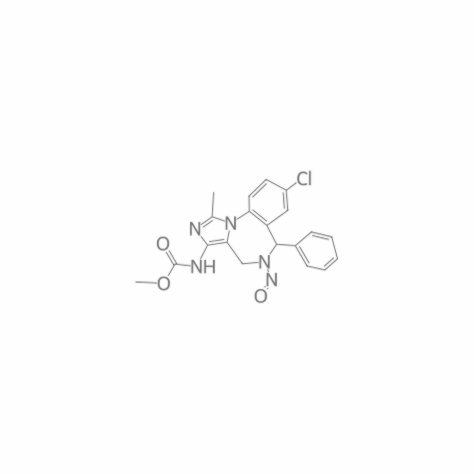 COC(=O)Nc1nc(C)n2c1CN(N=O)C(c1ccccc1)c1cc(Cl)ccc1-2